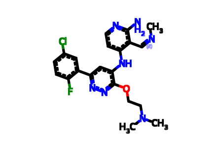 C/N=C\c1c(Nc2cc(-c3cc(Cl)ccc3F)nnc2OCCN(C)C)ccnc1N